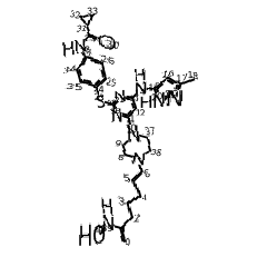 C=C(CCCCCN1CCN(c2cc(Nc3cc(C)n[nH]3)nc(Sc3ccc(NC(=O)C4CC4)cc3)n2)CC1)NO